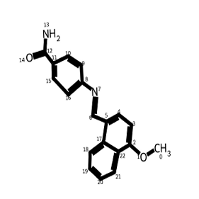 COc1ccc(C=Nc2ccc(C(N)=O)cc2)c2ccccc12